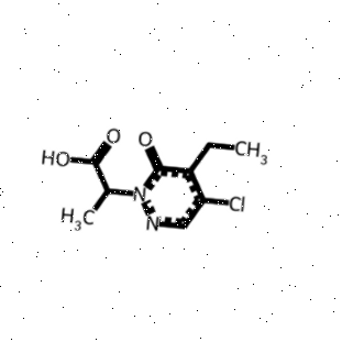 CCc1c(Cl)cnn(C(C)C(=O)O)c1=O